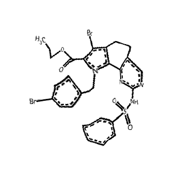 CCOC(=O)c1c(Br)c2c(n1Cc1ccc(Br)cc1)-c1nc(NS(=O)(=O)c3ccccc3)ncc1CC2